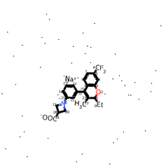 CCC1Oc2cc(C(F)(F)F)ccc2C(c2cccc(N3CC(C(=O)[O-])C3)c2)=C1C.[Na+]